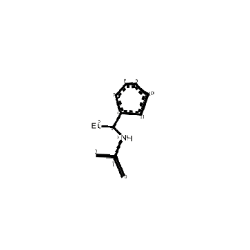 C=C(C)NC(CC)c1ccccc1